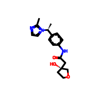 Cc1nccn1[C@H](C)c1ccc(NC(=O)C[C@]2(O)CCOC2)cc1